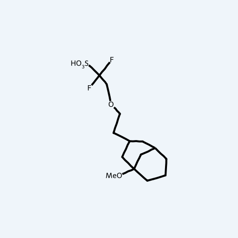 COC12CCCC(CC(CCOCC(F)(F)S(=O)(=O)O)C1)C2